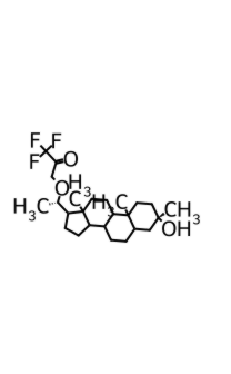 C[C@H](OCC(=O)C(F)(F)F)C1CCC2C3CCC4C[C@@](C)(O)CCC4(C)C3CCC21C